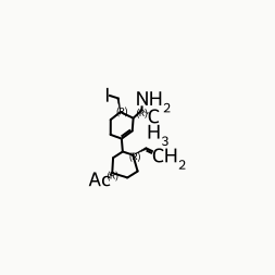 C=C[C@H]1CC[C@@H](C(C)=O)CC1C1=CC([C@@H](C)N)[C@H](CI)CC1